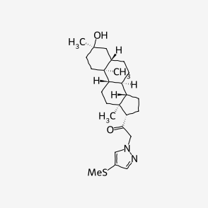 CSc1cnn(CC(=O)[C@H]2CC[C@H]3[C@@H]4CC[C@H]5C[C@](C)(O)CC[C@]5(C)[C@H]4CC[C@]23C)c1